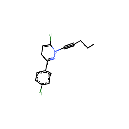 CCCC#CN1N=C(c2ccc(Cl)cc2)CC=C1Cl